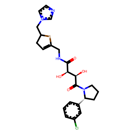 O=C(NCC1=CCC(Cn2ccnc2)S1)[C@H](O)[C@@H](O)C(=O)N1CCC[C@@H]1c1cccc(Cl)c1